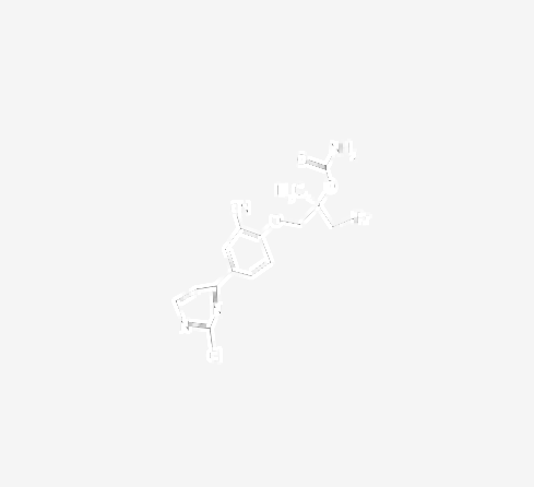 CC(C)C[C@@](C)(COc1ccc(-c2ccnc(Cl)n2)cc1C#N)OC(N)=O